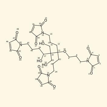 O=C1C=CC(=O)N1CCCOC(CCCN1C(=O)C=CC1=O)(CCCN1C(=O)C=CC1=O)C(CO)(CO)C(O)CCCN1C(=O)C=CC1=O